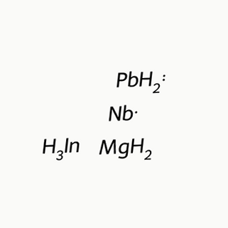 [InH3].[MgH2].[Nb].[PbH2]